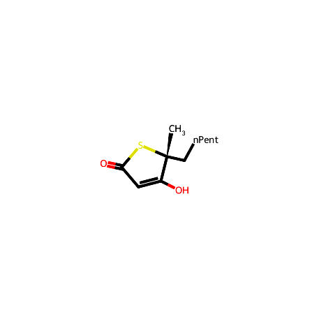 CCCCCC[C@@]1(C)SC(=O)C=C1O